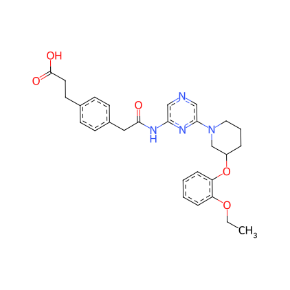 CCOc1ccccc1OC1CCCN(c2cncc(NC(=O)Cc3ccc(CCC(=O)O)cc3)n2)C1